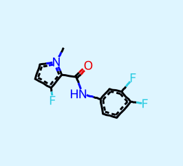 Cn1ccc(F)c1C(=O)Nc1ccc(F)c(F)c1